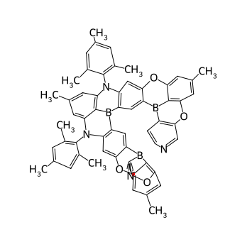 Cc1cc(C)c(N2c3cc4c(cc3B3c5cc6c(cc5N(c5c(C)cc(C)cc5C)c5cc(C)cc2c53)Oc2cc(C)cc3c2B6c2ccncc2O3)B2c3ccncc3Oc3cc(C)cc(c32)O4)c(C)c1